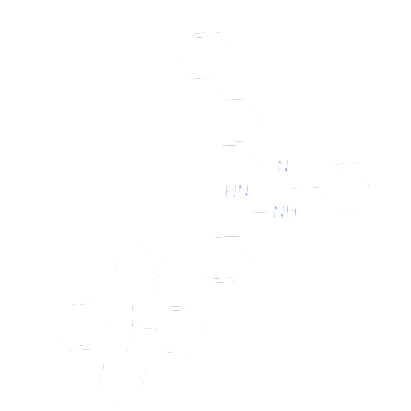 c1ccc(C2=NC(c3ccc(-c4ccccc4)cc3)NC(c3ccc(-c4cccc5c4-c4ccccc4C5(c4ccccc4)c4ccccc4)cc3)N2)cc1